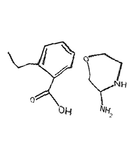 CCc1ccccc1C(=O)O.NC1COCCN1